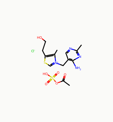 CC(=O)OS(=O)(=O)O.Cc1ncc(C[n+]2csc(CCO)c2C)c(N)n1.[Cl-]